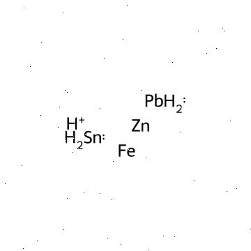 [Fe].[H+].[PbH2].[SnH2].[Zn]